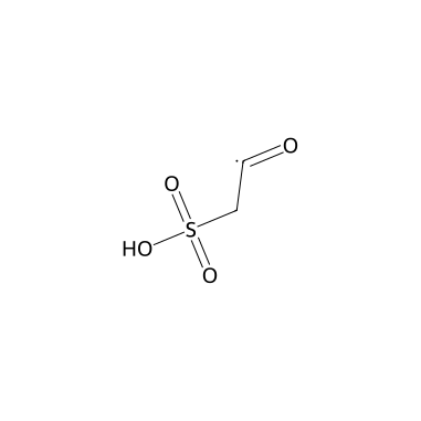 O=[C]CS(=O)(=O)O